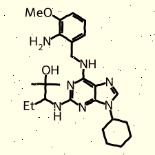 CCC(Nc1nc(NCc2cccc(OC)c2N)c2ncn(C3CCCCC3)c2n1)C(C)(C)O